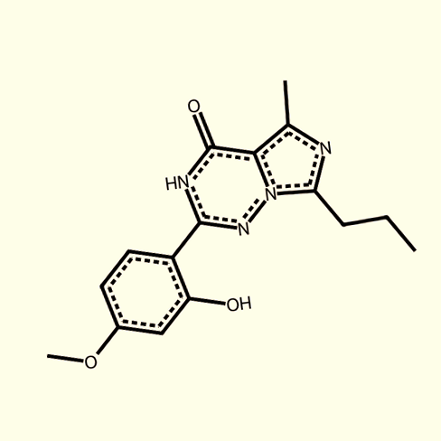 CCCc1nc(C)c2c(=O)[nH]c(-c3ccc(OC)cc3O)nn12